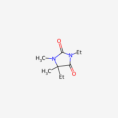 CCN1C(=O)N(C)C(C)(CC)C1=O